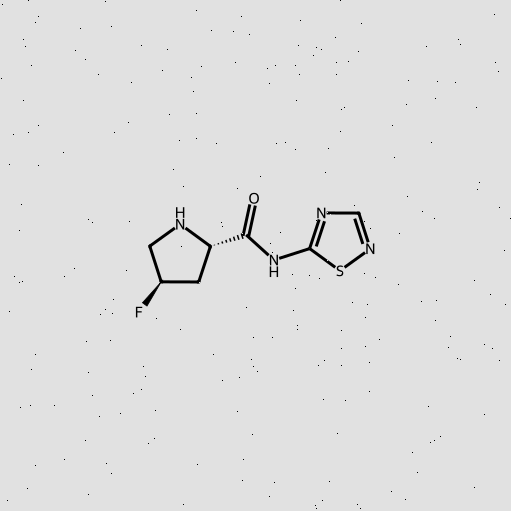 O=C(Nc1ncns1)[C@@H]1C[C@@H](F)CN1